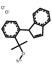 CC(C)([O][Ti+2])c1ccccc1C1C=Cc2ccccc21.[Cl-].[Cl-]